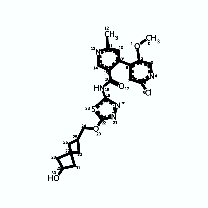 COc1cnc(Cl)cc1-c1cc(C)ncc1C(=O)Nc1nnc(OCC2CC3(CC(O)C3)C2)s1